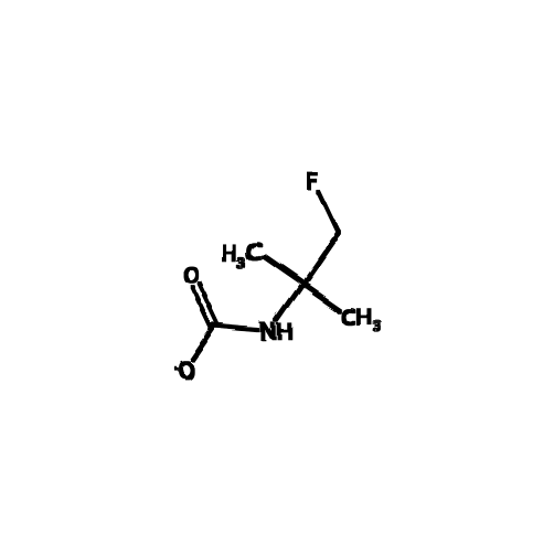 CC(C)(CF)NC([O])=O